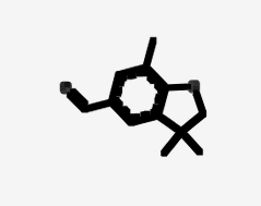 Cc1cc(C=O)cc2c1OCC2(C)C